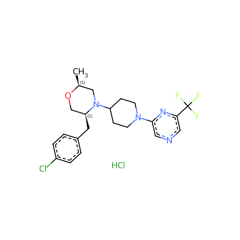 C[C@H]1CN(C2CCN(c3cncc(C(F)(F)F)n3)CC2)[C@@H](Cc2ccc(Cl)cc2)CO1.Cl